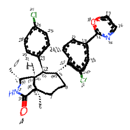 C[C@H]1NC(=O)[C@]2(C)CC[C@@H](c3ccc(-c4ncco4)cc3Cl)[C@H](c3ccc(Cl)cc3)[C@H]12